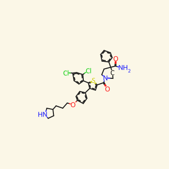 NC(=O)C1(c2ccccc2)CCN(C(=O)c2cc(-c3ccc(OCCCC4CCNC4)cc3)c(-c3ccc(Cl)cc3Cl)s2)CC1